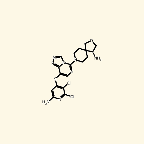 Nc1cc(Sc2cnc(N3CCC4(CC3)COC[C@H]4N)n3cnnc23)c(Cl)c(Cl)n1